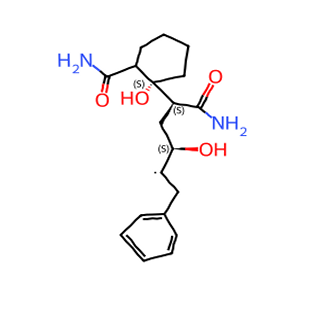 NC(=O)C1CCCC[C@@]1(O)[C@H](C[C@@H](O)[CH]Cc1ccccc1)C(N)=O